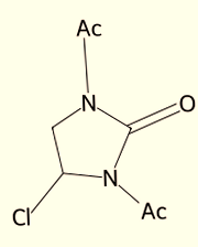 CC(=O)N1CC(Cl)N(C(C)=O)C1=O